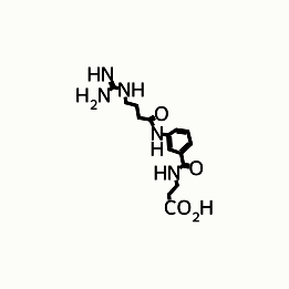 N=C(N)NCCCC(=O)Nc1cccc(C(=O)NCCC(=O)O)c1